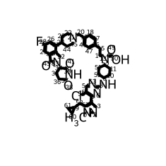 Cn1ncc(-c2nc(N[C@H]3CC[C@H](N(CCc4ccc(CN5CCC(c6cc(F)cc7c6CN(C6CCC(=O)NC6=O)C7=O)CC5)cc4)C(=O)O)CC3)ncc2Cl)c1CC1CC1